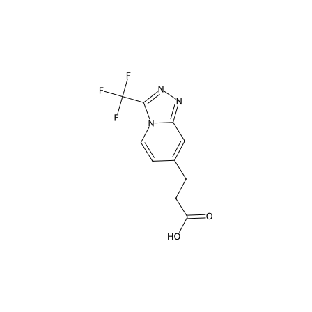 O=C(O)CCc1ccn2c(C(F)(F)F)nnc2c1